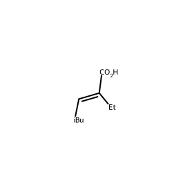 CC/C(=C\C(C)CC)C(=O)O